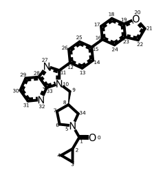 O=C(C1CC1)N1CC[C@@H](Cn2c(-c3ccc(-c4ccc5occc5c4)cc3)nc3cccnc32)C1